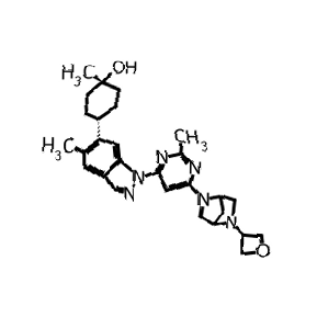 Cc1nc(N2CC3CC2CN3C2COC2)cc(-n2ncc3cc(C)c([C@H]4CC[C@@](C)(O)CC4)cc32)n1